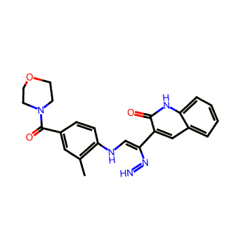 Cc1cc(C(=O)N2CCOCC2)ccc1N/C=C(\N=N)c1cc2ccccc2[nH]c1=O